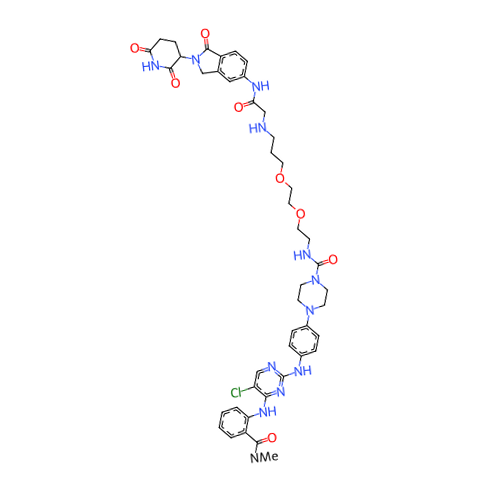 CNC(=O)c1ccccc1Nc1nc(Nc2ccc(N3CCN(C(=O)NCCOCCOCCCNCC(=O)Nc4ccc5c(c4)CN(C4CCC(=O)NC4=O)C5=O)CC3)cc2)ncc1Cl